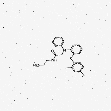 Cc1ccc(Sc2ccccc2N(CC(=O)NCCO)c2ccccc2)c(C)c1